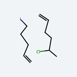 C=CCCC(C)Cl.C=CCCCI